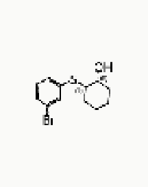 O[C@@H]1CCCC[C@H]1Sc1cccc(Br)c1